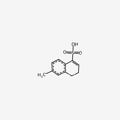 Cc1ccc2c(c1)CCC=C2S(=O)(=O)O